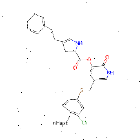 CCCCCCCc1ccc(SCc2c[nH]c(=O)c(OC(=O)c3cc(CCC4=CCCC=C4)c[nH]3)c2)cc1Cl